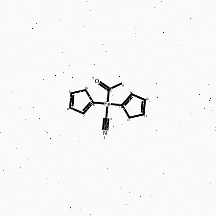 C[C](=O)[Fe]([C]#N)([C]1=CC=CC1)[C]1=CC=CC1